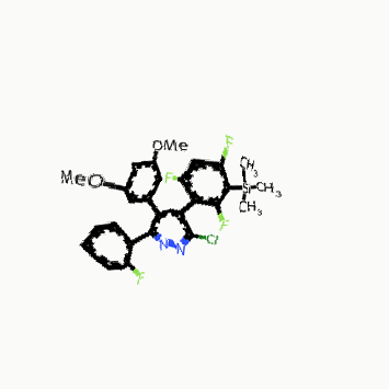 COc1cc(OC)cc(-c2c(-c3ccccc3F)nnc(Cl)c2-c2c(F)cc(F)c([Si](C)(C)C)c2F)c1